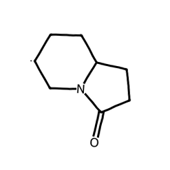 O=C1CCC2CC[CH]CN12